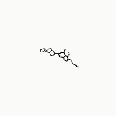 CC=CCCc1ccc2cc(C3CCC4CC(CCCC)CCC4C3)cc(F)c2c1F